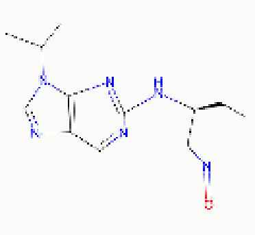 CC[C@@H](CN=O)Nc1ncc2ncn(C(C)C)c2n1